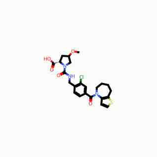 COC1C[C@@H](C(=O)O)N(C(=O)NCc2ccc(C(=O)N3CCCCc4sccc43)cc2Cl)C1